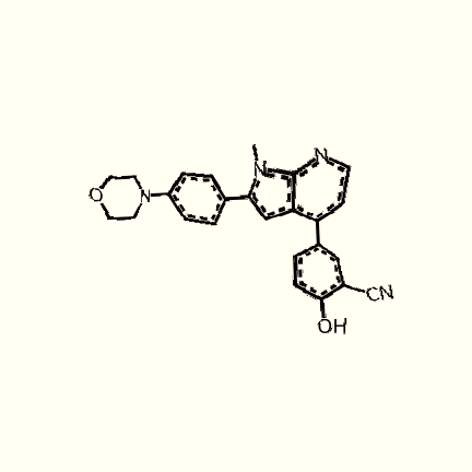 Cn1c(-c2ccc(N3CCOCC3)cc2)cc2c(-c3ccc(O)c(C#N)c3)ccnc21